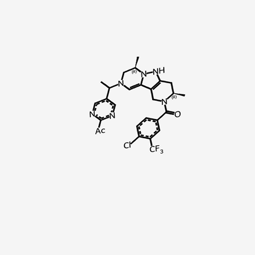 CC(=O)c1ncc(C(C)N2C=C3C4=C(C[C@@H](C)N(C(=O)c5ccc(Cl)c(C(F)(F)F)c5)C4)NN3[C@H](C)C2)cn1